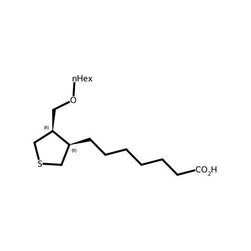 CCCCCCOC[C@@H]1CSC[C@@H]1CCCCCCC(=O)O